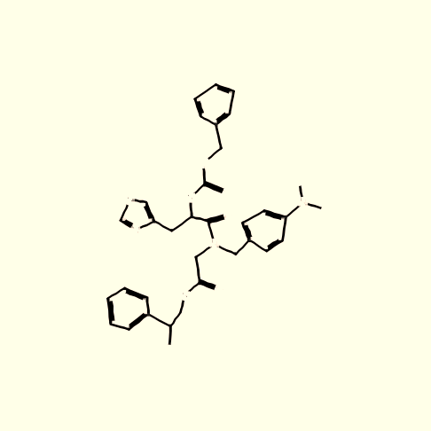 CC(CNC(=O)CN(Cc1ccc(N(C)C)cc1)C(=O)C(Cc1c[nH]cn1)NC(=O)OCc1ccccc1)c1ccccc1